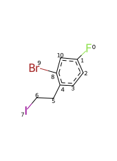 Fc1ccc(CCI)c(Br)c1